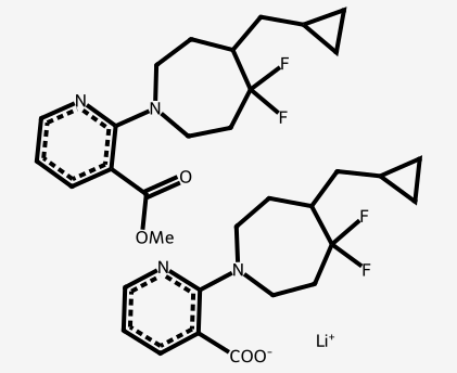 COC(=O)c1cccnc1N1CCC(CC2CC2)C(F)(F)CC1.O=C([O-])c1cccnc1N1CCC(CC2CC2)C(F)(F)CC1.[Li+]